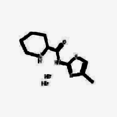 Br.Br.Cc1csc(NC(=O)C2CCCCN2)n1